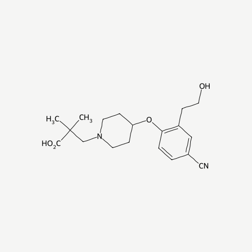 CC(C)(CN1CCC(Oc2ccc(C#N)cc2CCO)CC1)C(=O)O